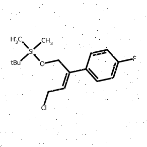 CC(C)(C)[Si](C)(C)OCC(=CCCl)c1ccc(F)cc1